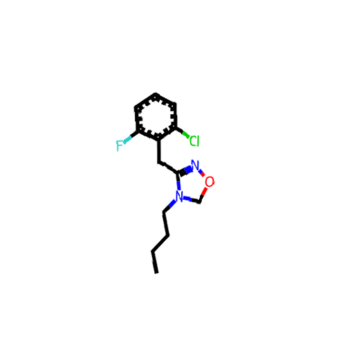 CCCCN1CON=C1Cc1c(F)cccc1Cl